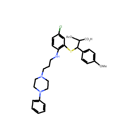 COc1ccc(C(Sc2cc(Cl)ccc2NCCCN2CCN(c3ccccc3)CC2)C(OC(C)=O)C(=O)O)cc1